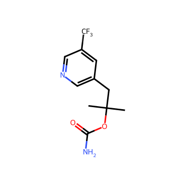 CC(C)(Cc1cncc(C(F)(F)F)c1)OC(N)=O